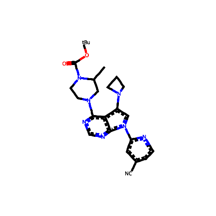 CC1CN(c2ncnc3c2c(N2CCC2)cn3-c2cc(C#N)ccn2)CCN1C(=O)OC(C)(C)C